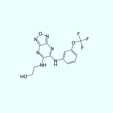 OCCNc1nc2nonc2nc1Nc1cccc(OC(F)(F)F)c1